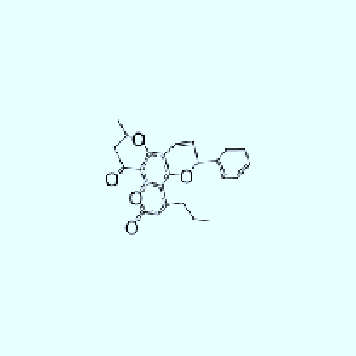 CCCc1cc(=O)oc2c3c(c4c(c12)OC(C1=CC=CCC1)C=C4)OC(C)CC3=O